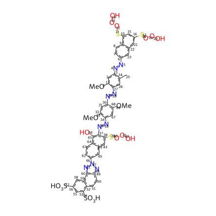 COc1cc(N=Nc2ccc3c(SOOO)cc(SOOO)cc3c2)c(C)cc1N=Nc1cc(OC)c(N=Nc2c(SOOO)cc3cc(-n4nc5ccc6c(S(=O)(=O)O)cc(S(=O)(=O)O)cc6c5n4)ccc3c2O)cc1OC